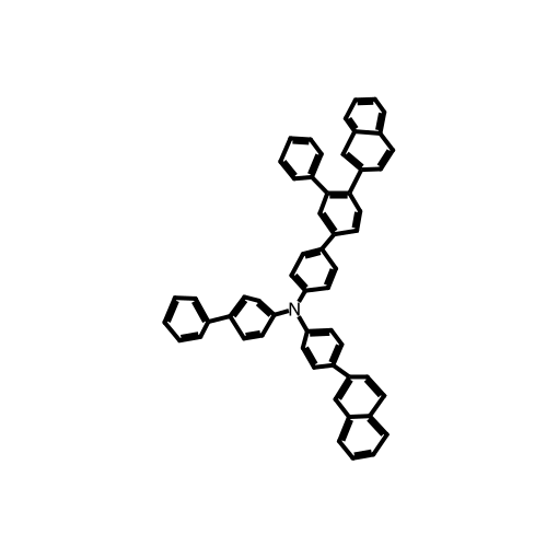 c1ccc(-c2ccc(N(c3ccc(-c4ccc(-c5ccc6ccccc6c5)c(-c5ccccc5)c4)cc3)c3ccc(-c4ccc5ccccc5c4)cc3)cc2)cc1